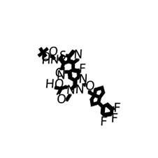 CC1(O)COCCN(c2nc(OCC34CCCC3C(c3cc(F)c(F)c(F)c3)CC4)nc3c(F)c(-c4cncc5sc(NC(=O)OC(C)(C)C)c(C#N)c45)c(Cl)cc23)C1